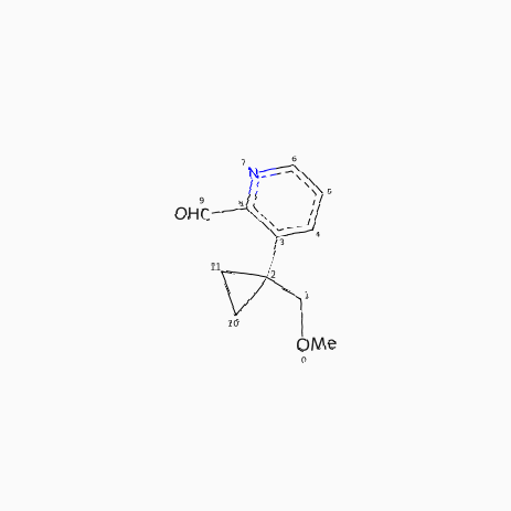 COCC1(c2cccnc2C=O)CC1